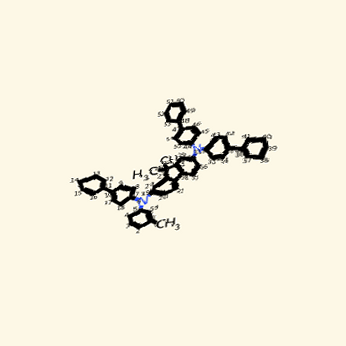 Cc1cccc(N(c2ccc(-c3ccccc3)cc2)c2ccc3c(c2)C(C)(C)c2cc(N(c4ccc(-c5ccccc5)cc4)c4ccc(-c5ccccc5)cc4)ccc2-3)c1